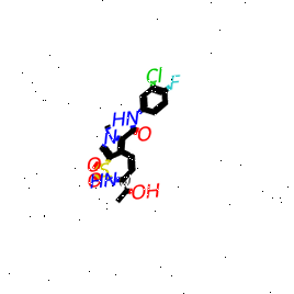 CC(O)[C@H]1C=Cc2c(cn(C)c2C(=O)Nc2ccc(F)c(Cl)c2)S(=O)(=O)N1